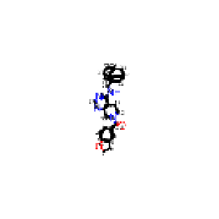 O=C(c1ccc2c(c1)CCO2)N1CCc2c(ncnc2NCC23CC4CC(CC(C4)C2)C3)C1